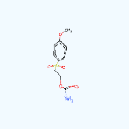 COc1ccc(S(=O)(=O)CCOC(N)=O)cc1